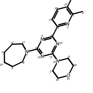 Cc1nc(-c2nc(N3CCCCCC3)nc(N3CCOCC3)n2)ccc1F